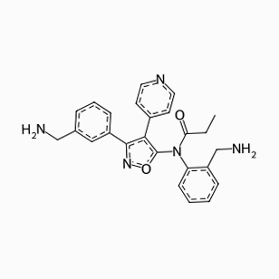 CCC(=O)N(c1ccccc1CN)c1onc(-c2cccc(CN)c2)c1-c1ccncc1